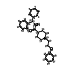 O=C(N[C@@H](c1ccccc1)c1ccccn1)C1CCN(CCOc2ccccc2)CC1